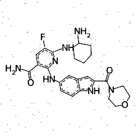 NC(=O)c1cc(F)c(NC2CCCCC2N)nc1Nc1ccc2[nH]c(C(=O)N3CCOCC3)cc2c1